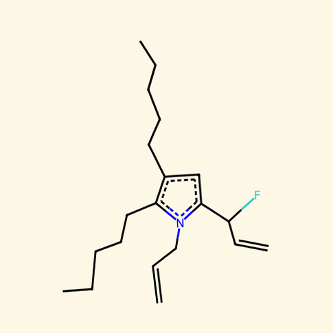 C=CCn1c(C(F)C=C)cc(CCCCC)c1CCCCC